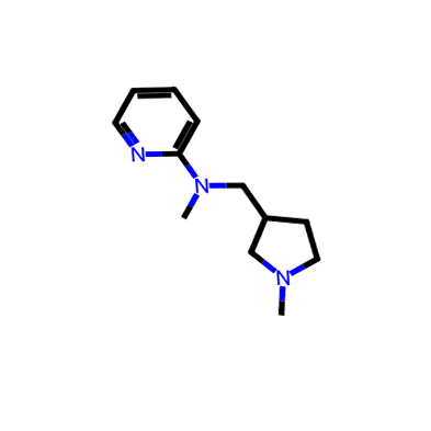 CN1CCC(CN(C)c2ccccn2)C1